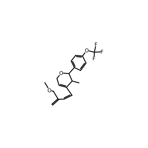 C=C(/C=C\C1=CCOC(c2ccc(OC(F)(F)F)cc2)C1C)COC